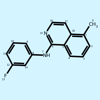 Cc1cccc2c(Nc3cccc(F)c3)nc[c]c12